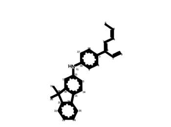 C=C/C(=C\C=C/C)c1ccc(Nc2ccc3c(c2)C(C)(C)c2ccccc2-3)cc1